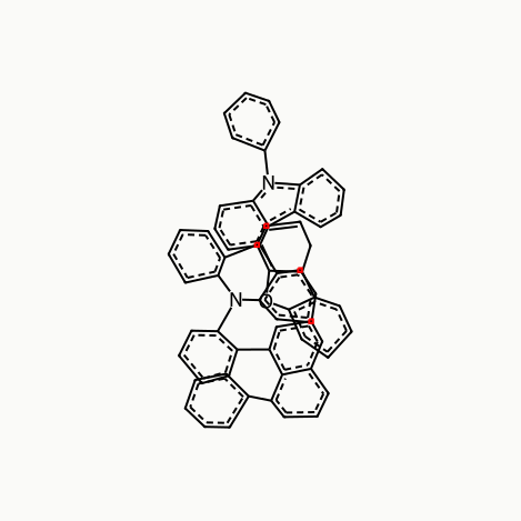 C1=CC(c2ccccc2N(c2ccccc2-c2cccc3cccc(-c4ccccc4)c23)c2ccccc2-c2cccc3c2c2ccccc2n3-c2ccccc2)=C2Oc3ccccc3C2C1